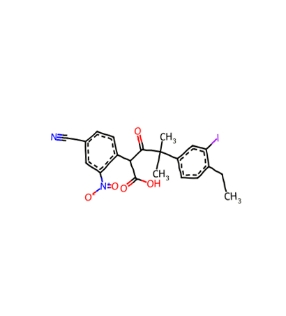 CCc1ccc(C(C)(C)C(=O)C(C(=O)O)c2ccc(C#N)cc2[N+](=O)[O-])cc1I